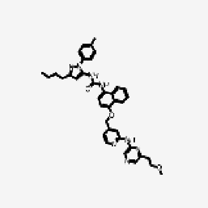 CCCCc1cc(NC(=O)Nc2ccc(OCc3ccnc(Nc4cncc(CCOC)n4)c3)c3ccccc23)n(-c2ccc(C)cc2)n1